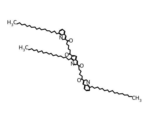 CCCCCCCCCCCCCCCCCCc1cccc2cc(C(=O)CCCCC(=O)c3cnc4c(CCCCCCCCCCCCCCCCCC)c(C(=O)CCCCC(=O)c5cnc6c(CCCCCCCCCCCCCCCCCC)cccc6c5)ccc4c3)cnc12